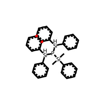 C[Si](C)(c1ccccc1)P([SiH](c1ccccc1)c1ccccc1)[SiH](c1ccccc1)c1ccccc1